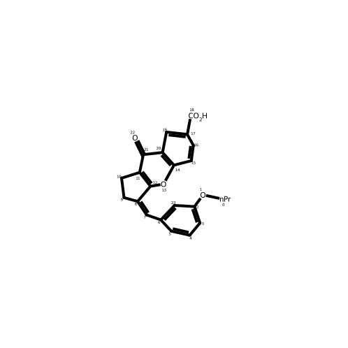 CCCOc1cccc(/C=C2/CCc3c2oc2ccc(C(=O)O)cc2c3=O)c1